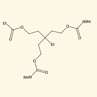 CCC(=O)OCCC(CC)(CCOC(=O)NC)CCOC(=O)NC